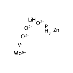 P.[LiH].[Mo+6].[O-2].[O-2].[O-2].[V].[Zn]